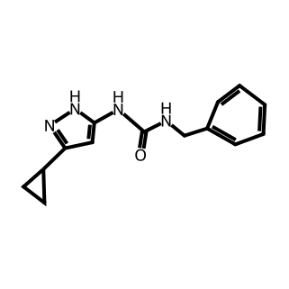 O=C(NCc1ccccc1)Nc1cc(C2CC2)n[nH]1